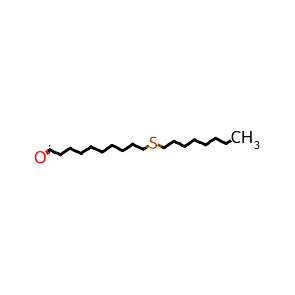 CCCCCCCCSCCCCCCCCC[C]=O